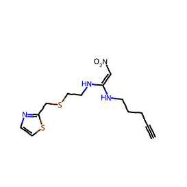 C#CCCCN/C(=C/[N+](=O)[O-])NCCSCc1nccs1